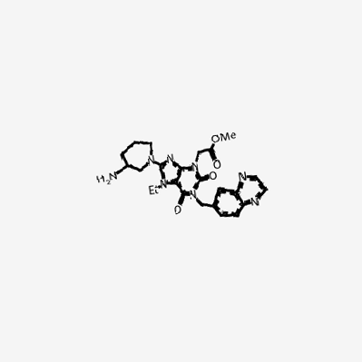 CCn1c(N2CCCC(N)C2)nc2c1c(=O)n(Cc1ccc3nccnc3c1)c(=O)n2CC(=O)OC